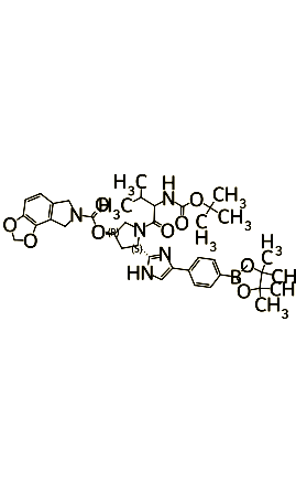 CC(C)C(NC(=O)OC(C)(C)C)C(=O)N1C[C@H](OC(=O)N2Cc3ccc4c(c3C2)OCO4)C[C@H]1c1nc(-c2ccc(B3OC(C)(C)C(C)(C)O3)cc2)c[nH]1